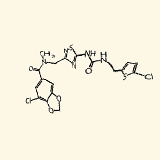 CN(Cc1nsc(NC(=O)NCc2ccc(Cl)s2)n1)C(=O)c1cc(Cl)c2c(c1)OCO2